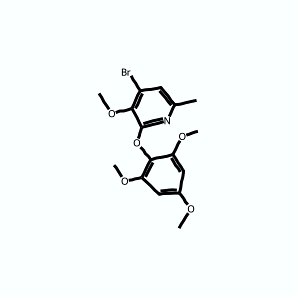 COc1cc(OC)c(Oc2nc(C)cc(Br)c2OC)c(OC)c1